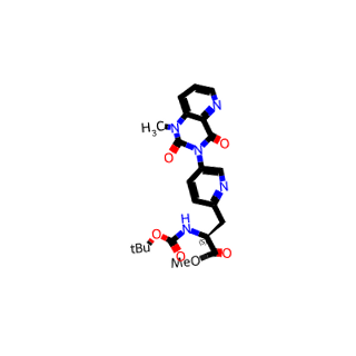 COC(=O)[C@H](Cc1ccc(-n2c(=O)c3ncccc3n(C)c2=O)cn1)NC(=O)OC(C)(C)C